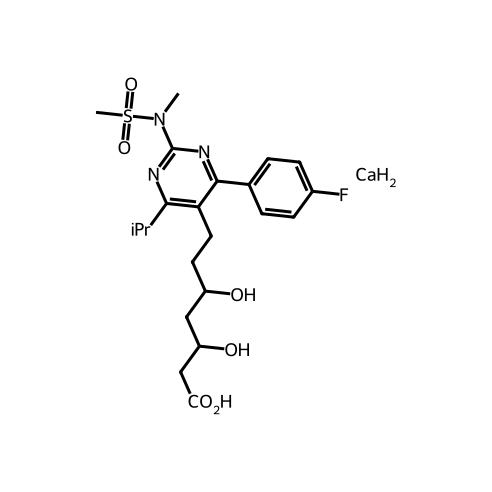 CC(C)c1nc(N(C)S(C)(=O)=O)nc(-c2ccc(F)cc2)c1CCC(O)CC(O)CC(=O)O.[CaH2]